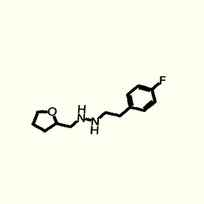 Fc1ccc(CCNNCC2CCCO2)cc1